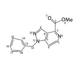 COC(=O)c1nccc2c1cnn2Cc1ccccc1